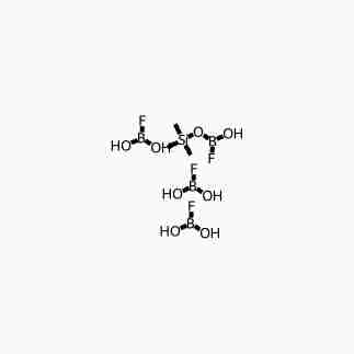 C[Si](C)(C)OB(O)F.OB(O)F.OB(O)F.OB(O)F